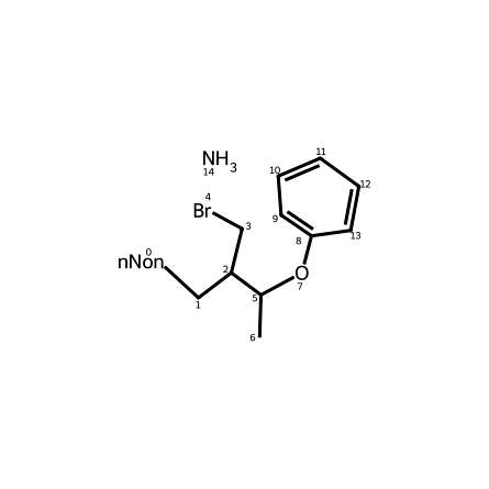 CCCCCCCCCCC(CBr)C(C)Oc1ccccc1.N